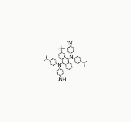 CNc1ccc(N(c2ccc(C(C)C)cc2)c2c3ccccc3c(N(c3ccc(C(C)C)cc3)c3ccc(N(C)C)cc3)c3cc(C(C)(C)C)ccc23)cc1